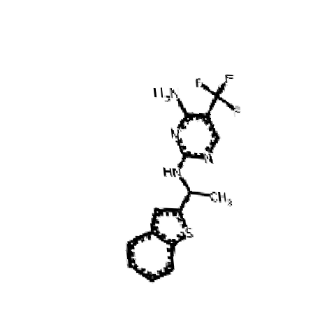 CC(Nc1ncc(C(F)(F)F)c(N)n1)c1cc2ccccc2s1